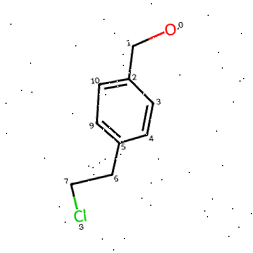 [O]Cc1ccc(CCCl)cc1